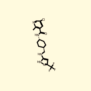 Cc1ncc(Cl)cc1C(=O)N[C@H]1CC[C@H](CNc2cc(C(F)(F)F)n[nH]2)CC1